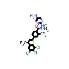 CN(NC(=O)c1ccc(C(F)=CC(c2cc(Cl)c(Cl)c(Cl)c2)C(F)(F)F)cc1C(F)(F)F)c1ncc(N)cn1